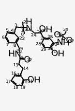 CC(C)(Cc1cccc(CNC(=O)CCc2ccccc2O)c1)NC[C@@H](O)c1ccc(O)c(NS(C)(=O)=O)c1